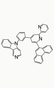 c1ccc(-c2cc(-c3cccc(-n4c5ccccc5c5cnccc54)c3)cc(-c3cc4ccccc4c4ccccc34)n2)nc1